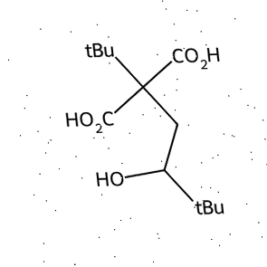 CC(C)(C)C(O)CC(C(=O)O)(C(=O)O)C(C)(C)C